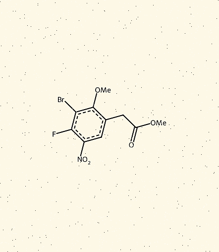 COC(=O)Cc1cc([N+](=O)[O-])c(F)c(Br)c1OC